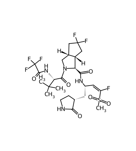 CC(C)(C)[C@H](NC(=O)C(F)(F)F)C(=O)N1C[C@@H]2CC(F)(F)C[C@@H]2[C@H]1C(=O)N[C@H](/C=C(/F)S(C)(=O)=O)C[C@H]1CCNC1=O